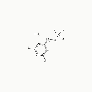 Cc1cc(C)cc(POC(C)(C)C)c1.Cl